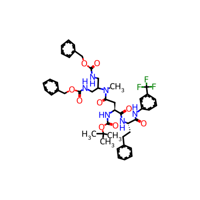 CN(C(=O)C[C@H](NC(=O)OC(C)(C)C)C(=O)N[C@@H](CCc1ccccc1)C(=O)Nc1cccc(C(F)(F)F)c1)C(CNC(=O)OCc1ccccc1)CNC(=O)OCc1ccccc1